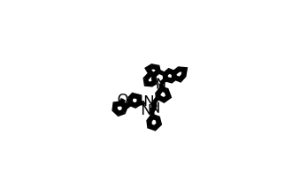 c1ccc(-c2nc(-c3cccc(N4c5cc6ccccc6cc5-c5cccc6cccc4c56)c3)nc(-c3ccc4oc5ccccc5c4c3)n2)cc1